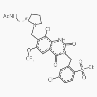 CCS(=O)(=O)c1ccc(Cl)cc1Cn1c(=O)[nH]c2c(Cl)c(CN3CCC[C@H]3CNC(C)=O)c(OC(F)(F)F)cc2c1=O